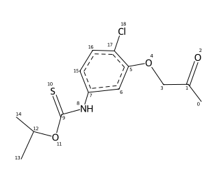 CC(=O)COc1cc(NC(=S)OC(C)C)ccc1Cl